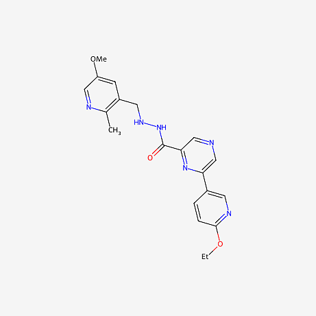 CCOc1ccc(-c2cncc(C(=O)NNCc3cc(OC)cnc3C)n2)cn1